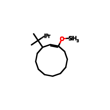 CC(C)C(C)(C)C1C=C(O[SiH3])CCCCCCCCC1